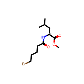 COC(=O)[C@H](CC(C)C)NC(=O)CCCCBr